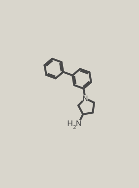 NC1CCN(c2cccc(-c3ccccc3)c2)C1